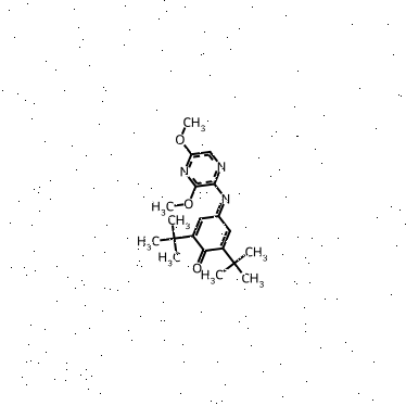 COc1cnc(N=C2C=C(C(C)(C)C)C(=O)C(C(C)(C)C)=C2)c(OC)n1